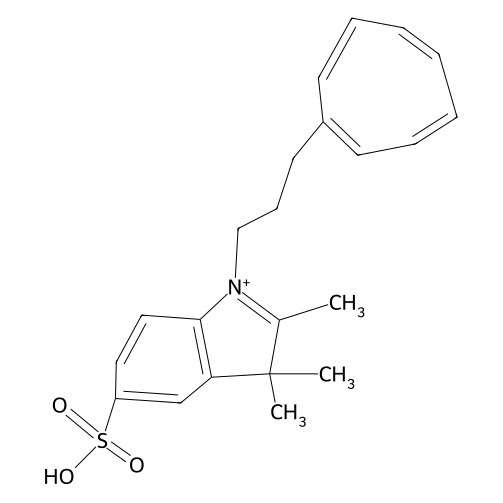 CC1=[N+](CCCC2=C/C=C\C=C/C=C\2)c2ccc(S(=O)(=O)O)cc2C1(C)C